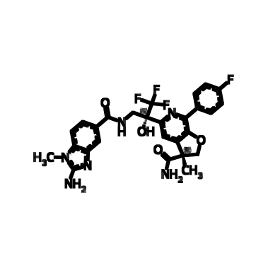 Cn1c(N)nc2cc(C(=O)NC[C@](O)(c3cc4c(c(-c5ccc(F)cc5)n3)OC[C@]4(C)C(N)=O)C(F)(F)F)ccc21